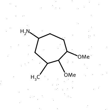 COC1CCC(N)CC(C)C1OC